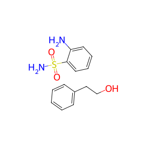 Nc1ccccc1S(N)(=O)=O.OCCc1ccccc1